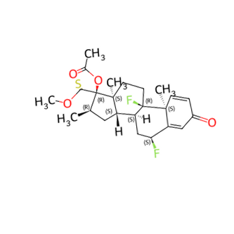 COC(=S)[C@@]1(OC(C)=O)[C@H](C)C[C@H]2[C@@H]3C[C@H](F)C4=CC(=O)C=C[C@]4(C)[C@@]3(F)CC[C@@]21C